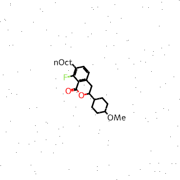 CCCCCCCCc1ccc2c(c1F)C(=O)OC(C1CCC(OC)CC1)C2